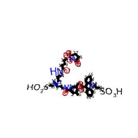 Cc1cc(C(=O)NCCC[N+](C)(CCCNC(=O)CCCC(=O)ON2C(=O)CCC2=O)CCS(=O)(=O)O)cc(C)c1OC(=O)c1c2ccccc2[n+](CCCS(=O)(=O)O)c2ccccc12